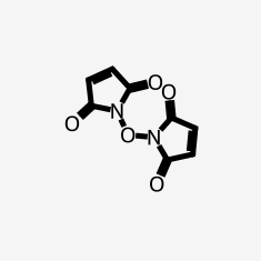 O=C1C=CC(=O)N1ON1C(=O)C=CC1=O